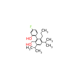 CCCc1c(C(C)C)cc(C(C)C)c(CO)c1-c1ccc(F)cc1O